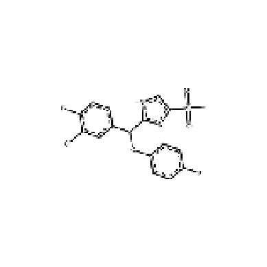 CS(=O)(=O)c1c[nH]c(C(Oc2ccc(F)cc2)c2ccc(F)c(Cl)c2)n1